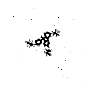 CC(c1ccc(OC(F)(F)C(F)(F)Br)cc1)(c1ccc(OC(F)(F)C(F)(F)Br)cc1)c1ccc(OC(F)(F)C(F)(F)Br)cc1